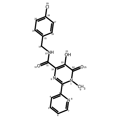 Cn1c(-c2ccccn2)nc(C(=O)NCc2ccc(Cl)cc2)c(O)c1=O